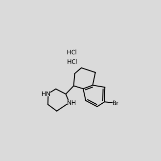 Brc1ccc2c(c1)CCCC2C1CNCCN1.Cl.Cl